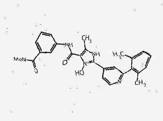 CNC(=O)c1cccc(NC(=O)c2c(C)[nH]c(-c3ccnc(-c4c(C)cccc4C)c3)[n+]2O)c1